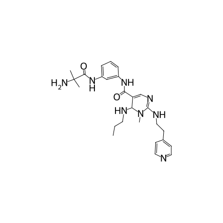 CCCNC1C(C(=O)Nc2cccc(NC(=O)C(C)(C)N)c2)=CN=C(NCCc2ccncc2)N1C